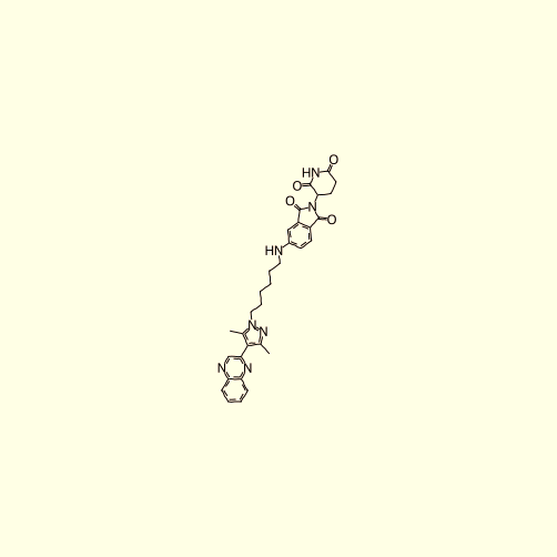 Cc1nn(CCCCCCNc2ccc3c(c2)C(=O)N(C2CCC(=O)NC2=O)C3=O)c(C)c1-c1cnc2ccccc2n1